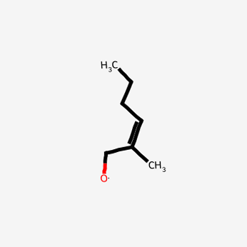 CCCC=C(C)C[O]